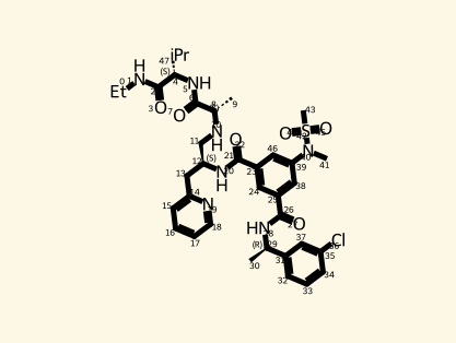 CCNC(=O)[C@@H](NC(=O)[C@H](C)NC[C@H](Cc1ccccn1)NC(=O)c1cc(C(=O)N[C@H](C)c2cccc(Cl)c2)cc(N(C)S(C)(=O)=O)c1)C(C)C